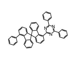 c1ccc(-c2nc(-c3ccccc3)nc(-c3cccc4c3-c3ccccc3C43c4ccccc4-c4c(-c5ccccc5)cccc43)n2)cc1